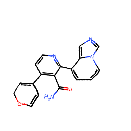 NC(=O)c1c(C2=CCOC=C2)ccnc1-c1cccn2cncc12